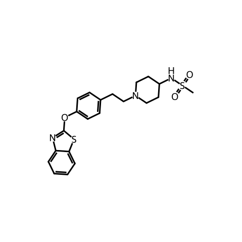 CS(=O)(=O)NC1CCN(CCc2ccc(Oc3nc4ccccc4s3)cc2)CC1